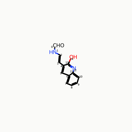 O=CNC=Cc1cc2ccccc2nc1O